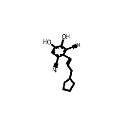 N#Cc1cc(O)c(O)c(C#N)c1/C=C/CC1CCCC1